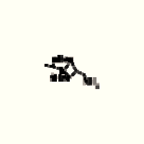 CCCCCCC(C)(CCCCCC)N1CC(CN)C1